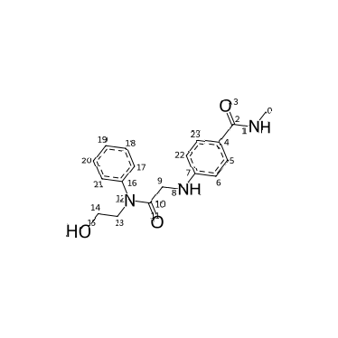 CNC(=O)c1ccc(NCC(=O)N(CCO)c2ccccc2)cc1